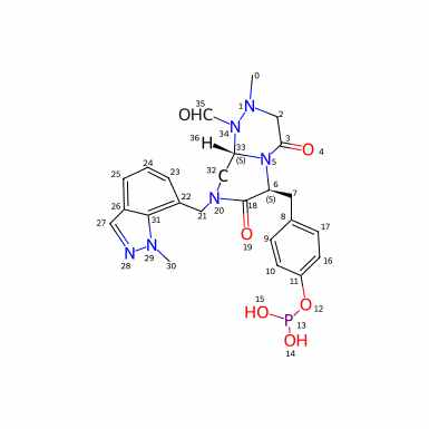 CN1CC(=O)N2[C@@H](Cc3ccc(OP(O)O)cc3)C(=O)N(Cc3cccc4cnn(C)c34)C[C@@H]2N1C=O